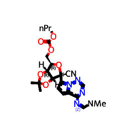 CCCOC(=O)OC[C@H]1O[C@@](C#N)(c2ccc3c(/N=C\NC)ncnn23)[C@@H]2OC(C)(C)O[C@@H]21